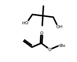 C=CC(=O)OCCCC.CC(C)(CO)CO